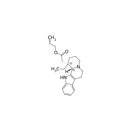 C=CCOC(=O)C[C@]1(CC)CCCN2CCc3c([nH]c4ccccc34)[C@@H]21